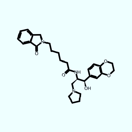 O=C(CCCCCN1Cc2ccccc2C1=O)N[C@H](CN1CCCC1)[C@H](O)c1ccc2c(c1)OCCO2